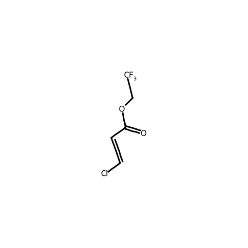 O=C(C=CCl)OCC(F)(F)F